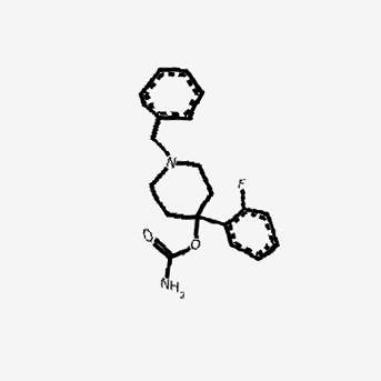 NC(=O)OC1(c2ccccc2F)CCN(Cc2ccccc2)CC1